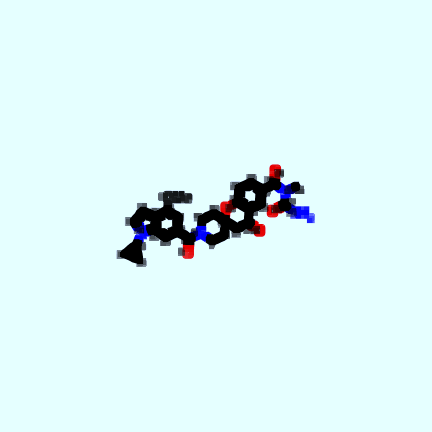 COc1cc(C(=O)N2CCC3(CC2)CC(=O)c2cc(C(=O)N(C)C(N)=O)ccc2O3)cc2c1ccn2C1CC1